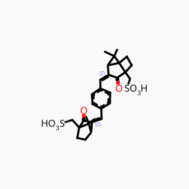 CC1(C)C2CCC1(CS(=O)(=O)O)C(=O)/C2=C\c1ccc(/C=C2\C(=O)C3(CS(=O)(=O)O)CCC34C2C4(C)C)cc1